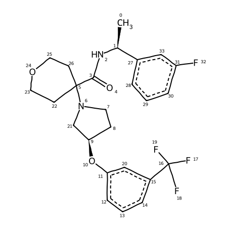 C[C@H](NC(=O)C1(N2CC[C@@H](Oc3cccc(C(F)(F)F)c3)C2)CCOCC1)c1cccc(F)c1